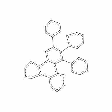 c1ccc(-c2cc3c4ccccc4c4ccccc4c3c(-c3ccccc3)c2-c2ccccc2)cc1